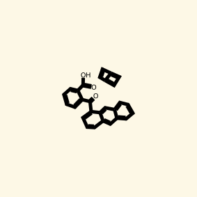 O=C(O)c1ccccc1C(=O)c1cccc2cc3ccccc3cc12.c1cc2ccc1-2